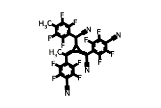 C/C(=C1/C(=C(\C#N)c2c(F)c(F)c(C#N)c(F)c2F)C1C(C#N)c1c(F)c(F)c(C)c(F)c1F)c1c(F)c(F)c(C#N)c(F)c1F